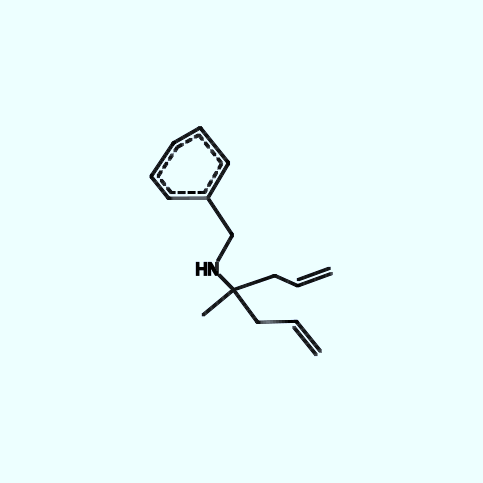 C=CCC(C)(CC=C)NCc1ccccc1